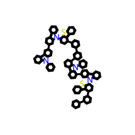 c1ccc(-c2cccc(-c3ccc(-n4c5ccccc5c5ccc(-c6cccc7c8cccc(-c9cccc(-c%10cccc(-c%11ccc(-n%12c%13ccccc%13c%13ccc(-c%14ccc%15c(c%14)c%14ccccc%14n%15-c%14ccccc%14)cc%13%12)c%12sc%13ccccc%13c%11%12)c%10)c9)c8n(-c8ccccc8)c67)cc54)c4sc5ccccc5c34)c2)cc1